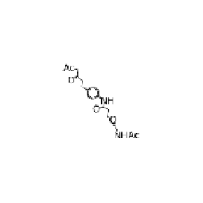 CC(=O)CC(=O)CCc1ccc(NC(=O)CCOCCNC(C)=O)cc1